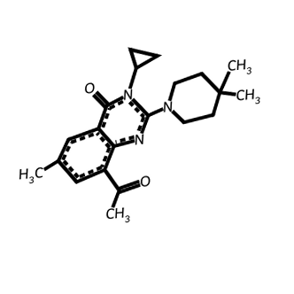 CC(=O)c1cc(C)cc2c(=O)n(C3CC3)c(N3CCC(C)(C)CC3)nc12